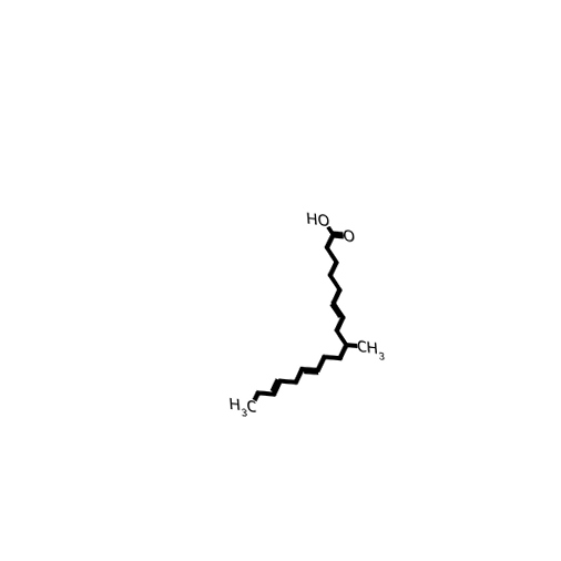 CCC=CCC=CCCC(C)CC=CCCCCC(=O)O